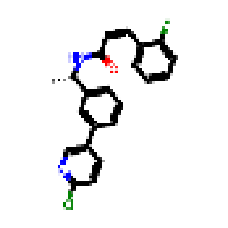 C[C@H](NC(=O)/C=C\c1ccccc1F)c1cccc(-c2ccc(Cl)nc2)c1